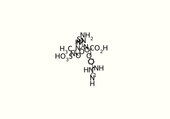 C[C@H]1[C@H](NC(=O)/C(=N\OC(COc2ccc(C(=N)N[C@H]3CCNC3)cc2)C(=O)O)c2nsc(N)n2)C(=O)N1S(=O)(=O)O